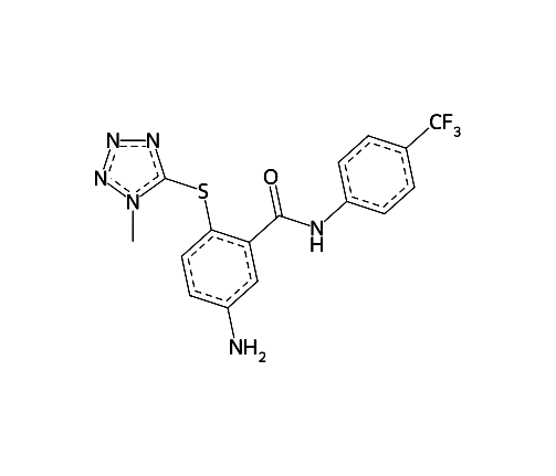 Cn1nnnc1Sc1ccc(N)cc1C(=O)Nc1ccc(C(F)(F)F)cc1